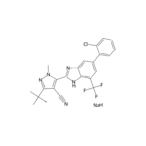 Cn1nc(C(C)(C)C)c(C#N)c1-c1nc2cc(-c3ccccc3Cl)cc(C(F)(F)F)c2[nH]1.[NaH]